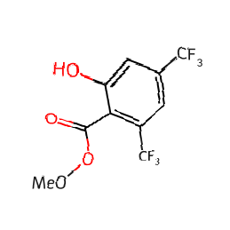 COOC(=O)c1c(O)cc(C(F)(F)F)cc1C(F)(F)F